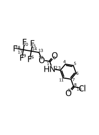 O=C(Nc1cccc(C(=O)Cl)c1)OCC(F)(F)C(F)(F)F